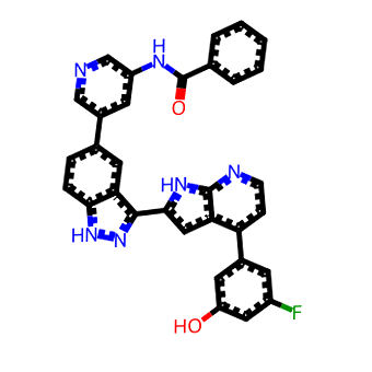 O=C(Nc1cncc(-c2ccc3[nH]nc(-c4cc5c(-c6cc(O)cc(F)c6)ccnc5[nH]4)c3c2)c1)c1ccccc1